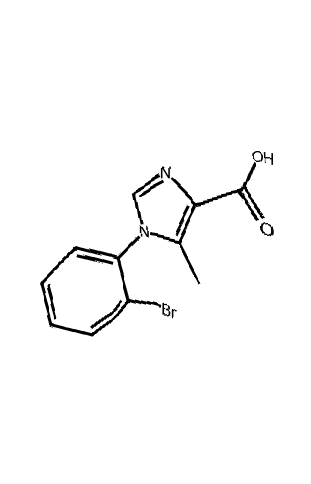 Cc1c(C(=O)O)ncn1-c1ccccc1Br